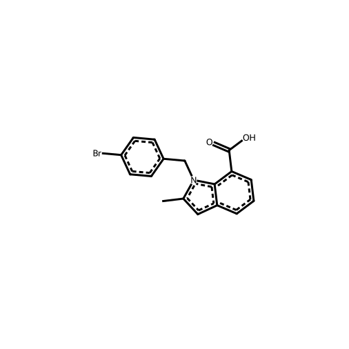 Cc1cc2cccc(C(=O)O)c2n1Cc1ccc(Br)cc1